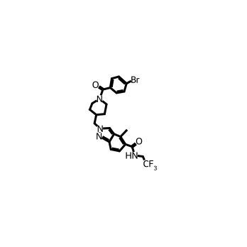 Cc1c(C(=O)NCC(F)(F)F)ccc2nn(CC3CCN(C(=O)c4ccc(Br)cc4)CC3)cc12